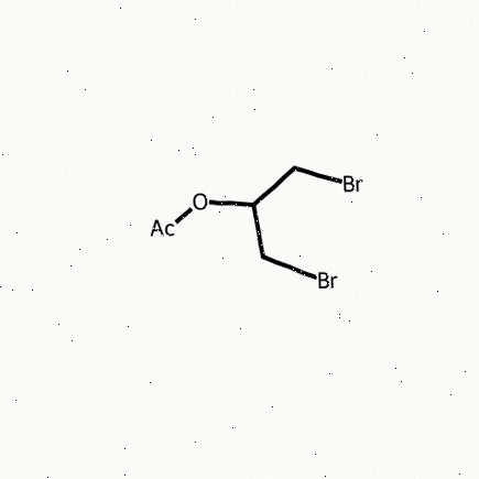 CC(=O)OC(CBr)CBr